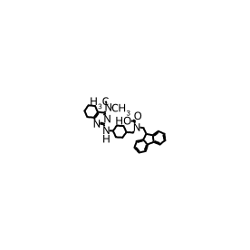 CN(C)c1nc(NC2CCC(CN(CC3c4ccccc4-c4ccccc43)C(=O)O)CC2)nc2c1CCCC2